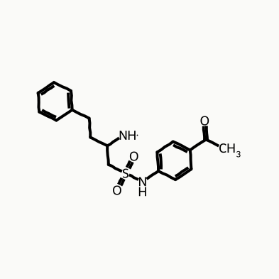 CC(=O)c1ccc(NS(=O)(=O)CC([NH])CCc2ccccc2)cc1